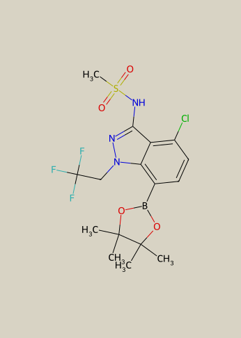 CC1(C)OB(c2ccc(Cl)c3c(NS(C)(=O)=O)nn(CC(F)(F)F)c23)OC1(C)C